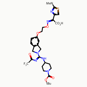 CNc1nc(/C(=N/OCCOc2ccc3c(c2)CN(/C(=N\C(=O)C(F)(F)F)NC2CCN(C(=O)OC(C)(C)C)CC2)C3)C(=O)O)cs1